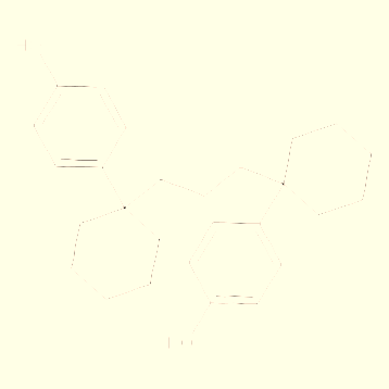 Oc1ccc(C2(CCCC3(c4ccc(O)cc4)CCCCC3)CCCCC2)cc1